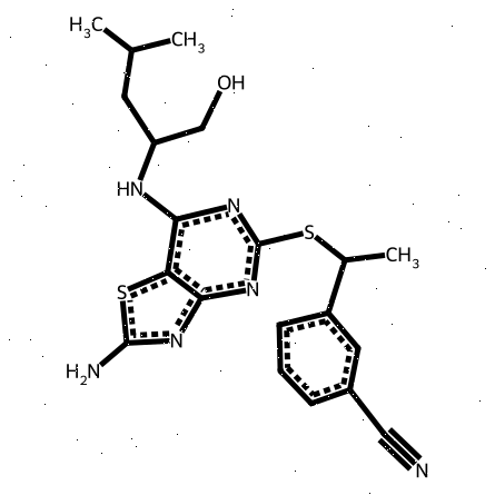 CC(C)CC(CO)Nc1nc(SC(C)c2cccc(C#N)c2)nc2nc(N)sc12